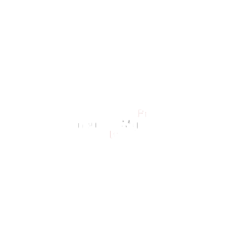 CCCCc1cc[c]cc1.[Br][Mg][Br]